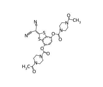 CC(=O)N1CCN(C(=O)Oc2ccc(OC(=O)N3CCN(C(C)=O)CC3)c3c2SC(=C(C#N)C#N)S3)CC1